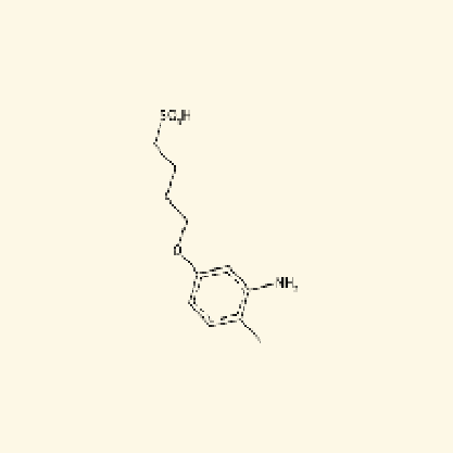 Cc1ccc(OCCCCS(=O)(=O)O)cc1N